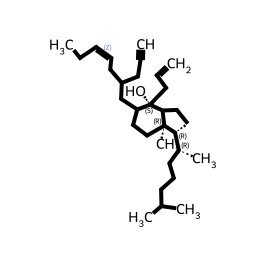 C#CCC(C/C=C\CC)CC1CC[C@@]2(C)C(CC[C@@H]2[C@H](C)CCCC(C)C)[C@]1(O)CC=C